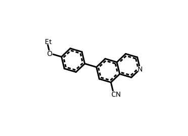 CCOc1ccc(-c2cc(C#N)c3cnccc3c2)cc1